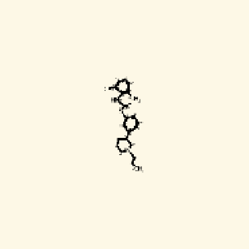 CCCN1CCCC(c2cccc(OC(=O)Nc3c(C)cccc3Cl)c2)C1